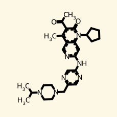 CC(=O)c1c(C)c2cnc(Nc3cnc(CN4CCN(C(C)C)CC4)cn3)cc2n(C2CCCC2)c1=O